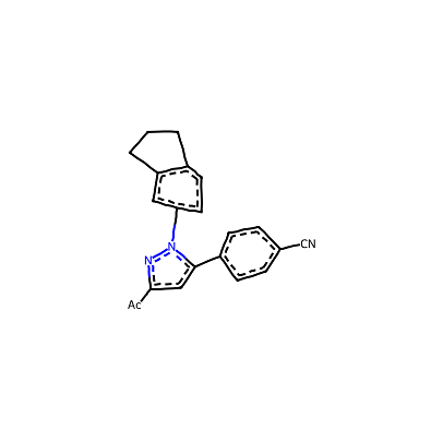 CC(=O)c1cc(-c2ccc(C#N)cc2)n(-c2ccc3c(c2)CCC3)n1